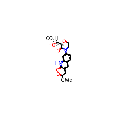 COC(=O)Cc1cc2ccc(N3CCO[C@H]([C@@H](O)C(=O)O)C3=O)cc2[nH]c1=O